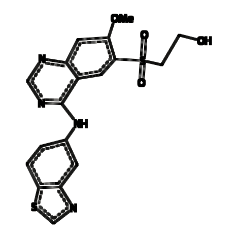 COc1cc2ncnc(Nc3ccc4scnc4c3)c2cc1S(=O)(=O)CCO